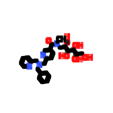 CN(C[C@H](O)[C@@H](O)[C@H](O)[C@H](O)CO)C(=O)c1ccc(CN(Cc2ccccc2)Cc2ccccn2)nc1